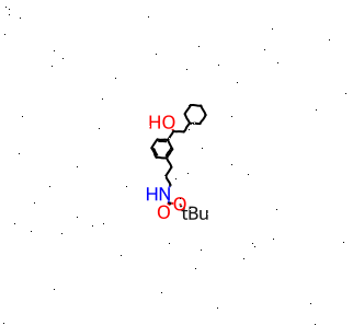 CC(C)(C)OC(=O)NCCCc1cccc(C(O)CC2CCCCC2)c1